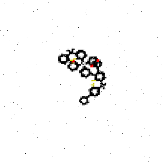 CC1(C)c2ccccc2Sc2c1cccc2[Si](c1ccccc1)(c1ccccc1)c1cccc(-c2c(C3CCCC3)ccc3c2Sc2cc(C4CCCC4)ccc2C3(C)C)c1